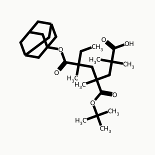 CCC(C)(CC(C)(CC(C)(C)C(=O)O)C(=O)OC(C)(C)C)C(=O)OC12CC3CC(CC(C3)C1)C2